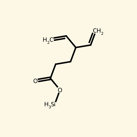 C=CC(C=C)CCC(=O)O[SiH3]